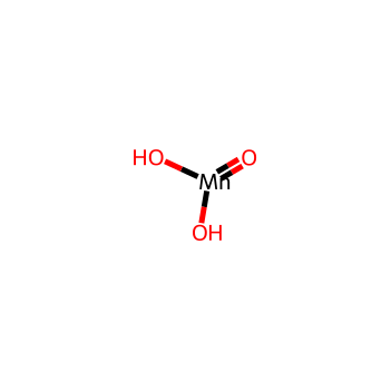 [O]=[Mn]([OH])[OH]